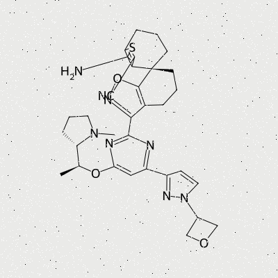 C[C@H](Oc1cc(-c2ccn(C3COC3)n2)nc(-c2noc3c2CCC[C@@]32CCCc3sc(N)c(C#N)c32)n1)[C@@H]1CCCN1C